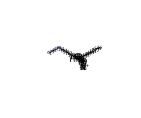 CCCCCCCC/C=C\CCCCCCCCCCCCCC(=O)N[C@@H](COP(=O)([O-])OCC[N+](C)(C)C)[C@H](O)CCCCCCCCCCCCCCCC